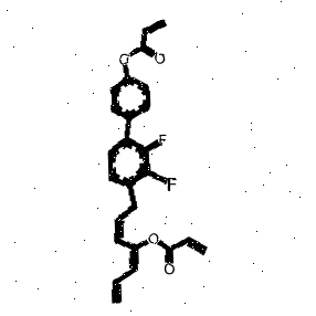 C=C/C=C(\C=C/Cc1ccc(-c2ccc(OC(=O)C=C)cc2)c(F)c1F)OC(=O)C=C